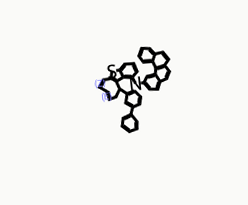 C1=C\c2sc3cccc4c3c2C(C/C=C/1)c1cc(-c2ccccc2)ccc1N4c1ccc2ccc3ccc4ccccc4c3c2c1